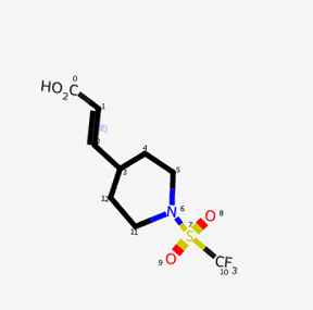 O=C(O)/C=C/C1CCN(S(=O)(=O)C(F)(F)F)CC1